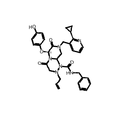 C=CCN1CC(=O)N2C(CN(Cc3cccnc3C3CC3)C(=O)[C@@H]2Oc2ccc(O)cc2)N1C(=O)NCc1ccccc1